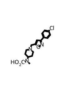 CN(C(=O)O)C1CCN(Cc2cc(-c3ccc(Cl)cc3)no2)CC1